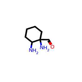 NC1CCCCC1(N)C=O